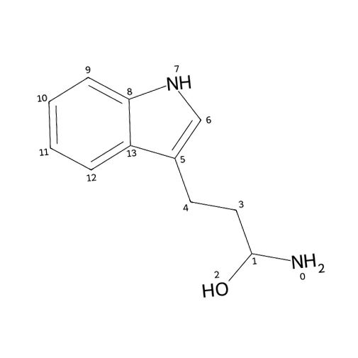 NC(O)CCc1c[nH]c2ccccc12